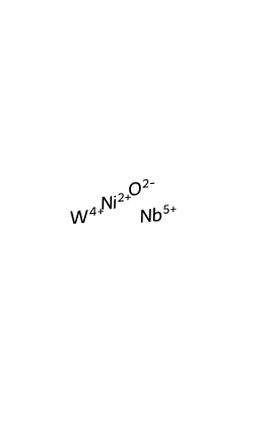 [Nb+5].[Ni+2].[O-2].[W+4]